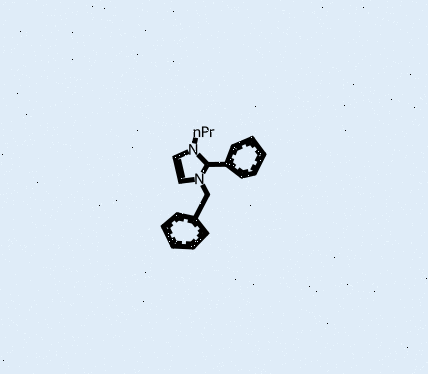 CCCN1C=CN(Cc2ccccc2)C1c1ccccc1